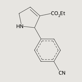 CCOC(=O)C1=CCNC1c1ccc(C#N)cc1